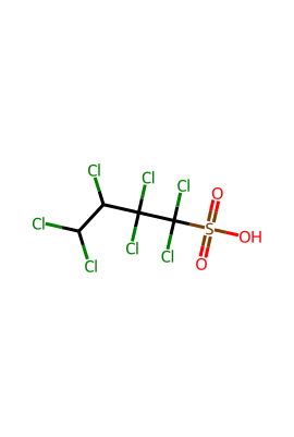 O=S(=O)(O)C(Cl)(Cl)C(Cl)(Cl)C(Cl)C(Cl)Cl